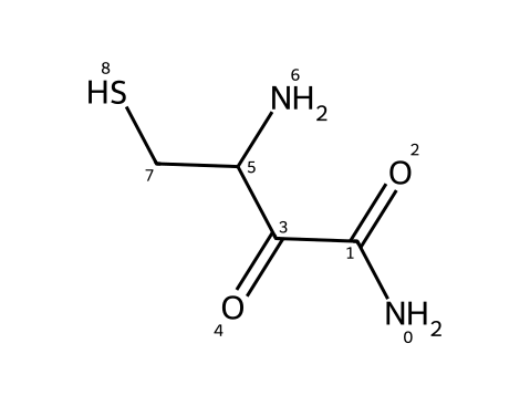 NC(=O)C(=O)C(N)CS